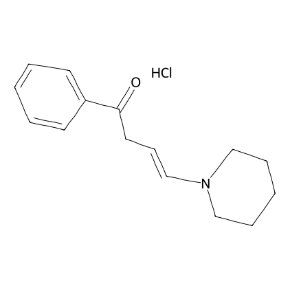 Cl.O=C(CC=CN1CCCCC1)c1ccccc1